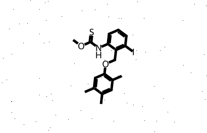 COC(=S)Nc1cccc(I)c1COc1cc(C)c(C)cc1C